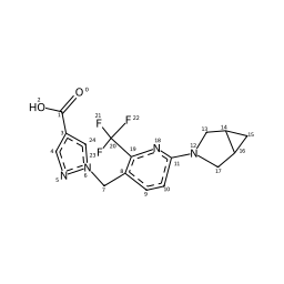 O=C(O)c1cnn(Cc2ccc(N3CC4CC4C3)nc2C(F)(F)F)c1